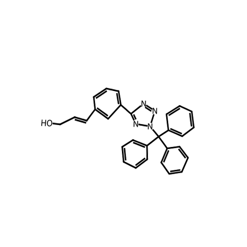 OCC=Cc1cccc(-c2nnn(C(c3ccccc3)(c3ccccc3)c3ccccc3)n2)c1